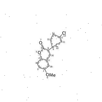 COc1ccc2oc(=O)c(-c3ccc(Cl)cc3)cc2c1